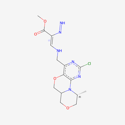 COC(=O)/C(=C/NCc1nc(Cl)nc2c1OCC1COC[C@@H](C)N21)N=N